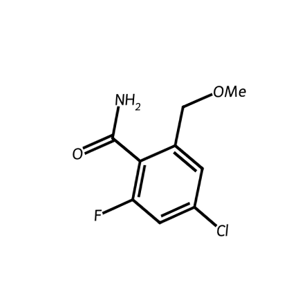 COCc1cc(Cl)cc(F)c1C(N)=O